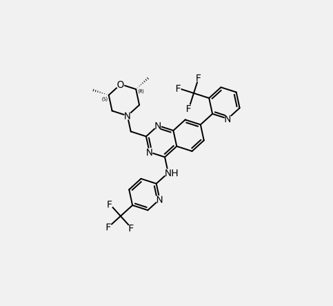 C[C@@H]1CN(Cc2nc(Nc3ccc(C(F)(F)F)cn3)c3ccc(-c4ncccc4C(F)(F)F)cc3n2)C[C@H](C)O1